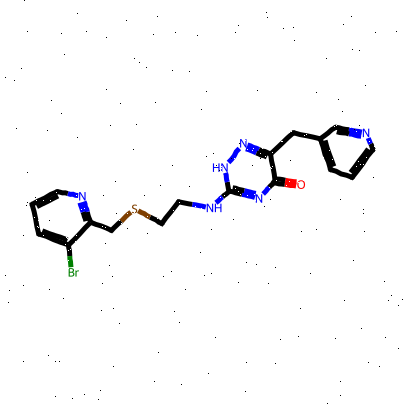 O=c1nc(NCCSCc2ncccc2Br)[nH]nc1Cc1cccnc1